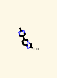 Cc1ncc(-c2ccc3nc(C=O)cn3c2)cn1